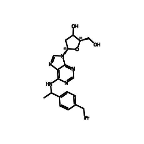 CC(C)Cc1ccc(C(C)Nc2ncnc3c2ncn3[C@H]2CC(O)[C@@H](CO)O2)cc1